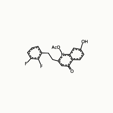 CC(=O)On1c(CCc2cccc(F)c2F)cc(=O)c2ccc(O)cc21